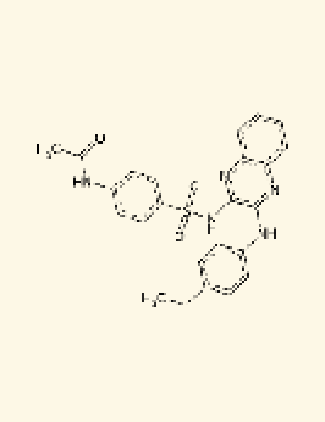 CCc1ccc(Nc2nc3ccccc3nc2NS(=O)(=O)c2ccc(NC(C)=O)cc2)cc1